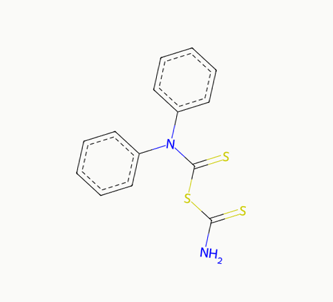 NC(=S)SC(=S)N(c1ccccc1)c1ccccc1